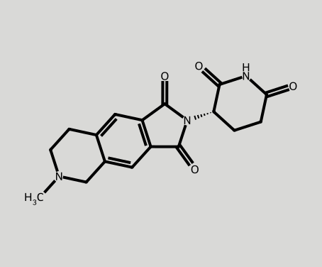 CN1CCc2cc3c(cc2C1)C(=O)N([C@H]1CCC(=O)NC1=O)C3=O